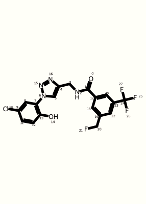 O=C(NCc1cn(-c2cc(Cl)ccc2O)nn1)c1cc(CF)cc(C(F)(F)F)c1